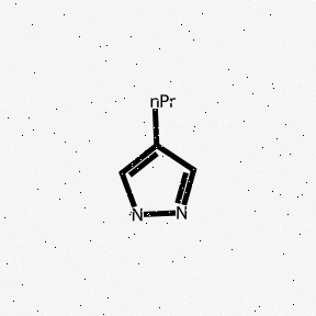 CCCC1=C[N]N=C1